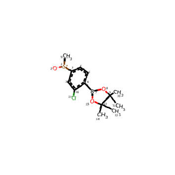 C[S+]([O-])c1ccc(B2OC(C)(C)C(C)(C)O2)c(Cl)c1